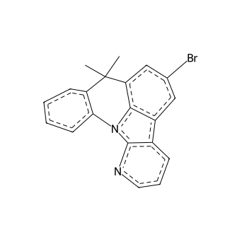 CC1(C)c2ccccc2-n2c3ncccc3c3cc(Br)cc1c32